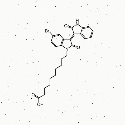 O=C(O)CCCCCCCCCN1C(=O)/C(=C2/C(=O)Nc3ccccc32)c2cc(Br)ccc21